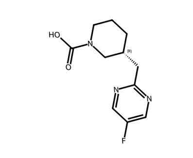 O=C(O)N1CCC[C@H](Cc2ncc(F)cn2)C1